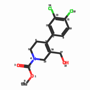 CC(C)(C)OC(=O)N1CCC(c2ccc(Cl)c(Cl)c2)=C(CO)C1